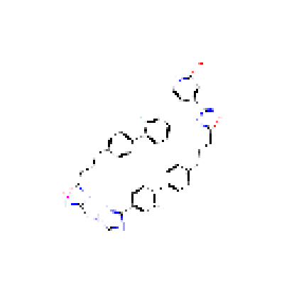 COc1cc(-c2noc(CCCc3ccc(-c4ccc(-c5ncn(Cc6noc(CCCc7ccc(-c8ccccc8F)cc7)n6)n5)cc4F)cc3)n2)ccn1